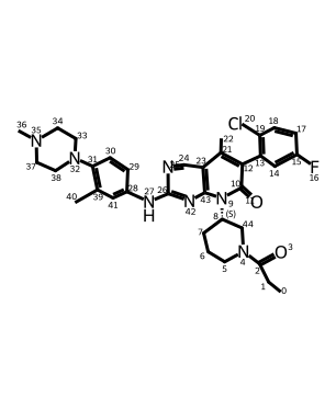 CCC(=O)N1CCC[C@H](n2c(=O)c(-c3cc(F)ccc3Cl)c(C)c3cnc(Nc4ccc(N5CCN(C)CC5)c(C)c4)nc32)C1